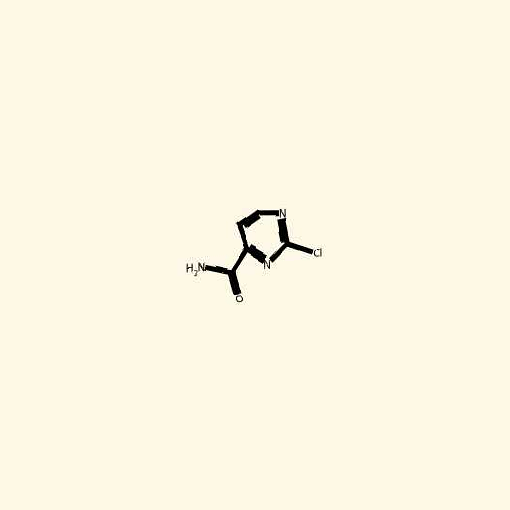 NC(=O)c1[c]cnc(Cl)n1